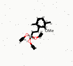 C#CO[Si](CCc1c(C)ccc(C)c1OC)(OC#C)OC#C